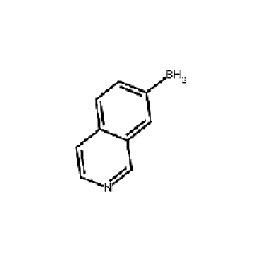 Bc1ccc2ccncc2c1